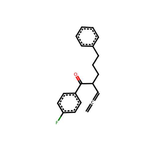 C=C=CC(CCCc1ccccc1)C(=O)c1ccc(F)cc1